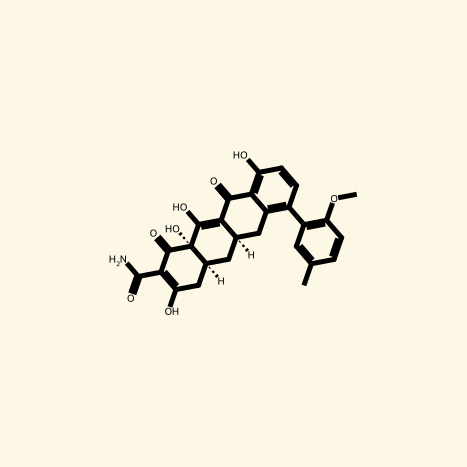 COc1ccc(C)cc1-c1ccc(O)c2c1C[C@H]1C[C@H]3CC(O)=C(C(N)=O)C(=O)[C@@]3(O)C(O)=C1C2=O